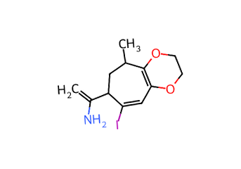 C=C(N)C1CC(C)C2=C(C=C1I)OCCO2